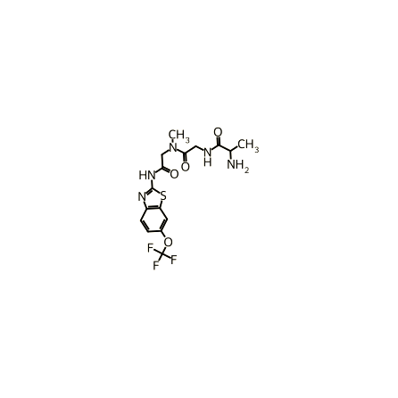 CC(N)C(=O)NCC(=O)N(C)CC(=O)Nc1nc2ccc(OC(F)(F)F)cc2s1